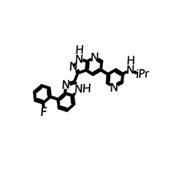 CC(C)Nc1cncc(-c2cnc3[nH]nc(-c4nc5c(-c6ccccc6F)cccc5[nH]4)c3c2)c1